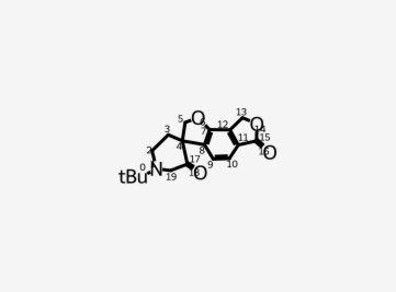 CC(C)(C)N1CCC2(COc3c2ccc2c3COC2=O)C(=O)C1